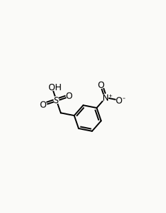 O=[N+]([O-])c1cccc(CS(=O)(=O)O)c1